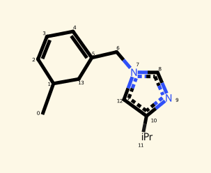 CC1C=CC=C(Cn2cnc(C(C)C)c2)C1